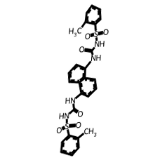 Cc1ccccc1S(=O)(=O)NC(=O)Nc1cccc2c(NC(=O)NS(=O)(=O)c3ccccc3C)cccc12